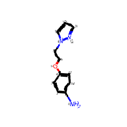 Nc1ccc(OCCn2cccn2)cc1